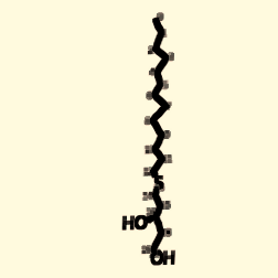 CCCCCCCCCCCCCSCCC(O)CCO